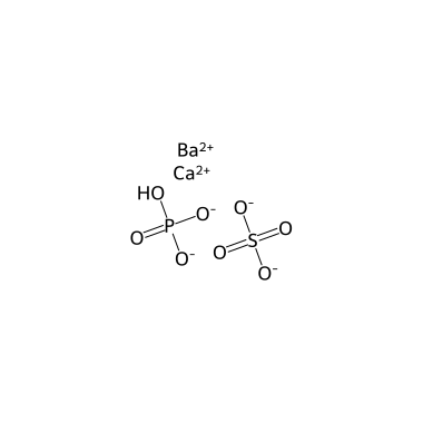 O=P([O-])([O-])O.O=S(=O)([O-])[O-].[Ba+2].[Ca+2]